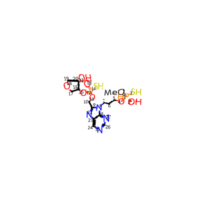 CO[PH](O)(S)OCCCn1c(COP(=O)(S)OC2COCC2O)nc2cncnc21